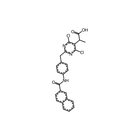 CC(C(=O)O)c1c(Cl)nc(Cc2ccc(NC(=O)c3ccc4ccccc4c3)cc2)nc1Cl